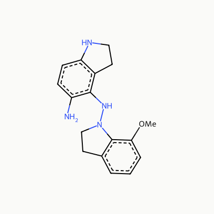 COc1cccc2c1N(Nc1c(N)ccc3c1CCN3)CC2